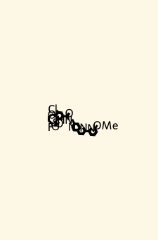 COc1cccc(-c2ccc3cnc(CNC(=O)c4cc(Cl)c5c(c4)S(=O)(=O)[C@@H](F)CCO5)cc3n2)n1